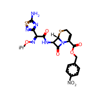 CC(C)ON=C(C(=O)NC1C(=O)N2C(C(=O)OCc3ccc([N+](=O)[O-])cc3)=CCS[C@@H]12)c1nsc(N)n1